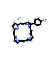 Clc1ccc(C2=CC3=CC4=NC(=CC5=NC(=CC6=NC(=CC2=N3)C=C6)C=C5)C=C4)cc1.[Zn]